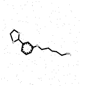 NCCCCCOc1cccc(C2OCCO2)c1